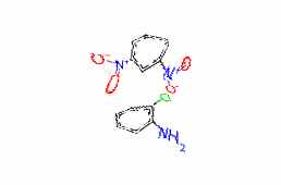 Nc1ccccc1Cl.O=[N+]([O-])c1cccc([N+](=O)[O-])c1